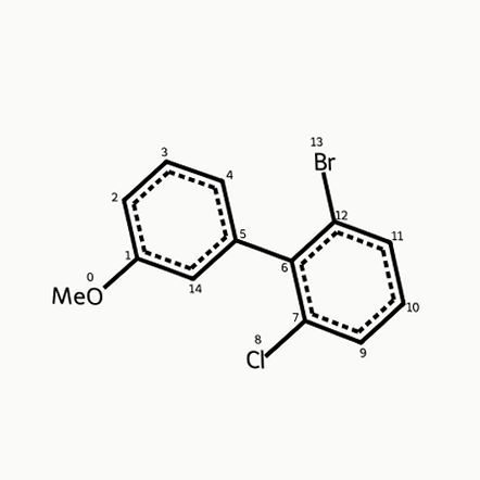 COc1cccc(-c2c(Cl)cccc2Br)c1